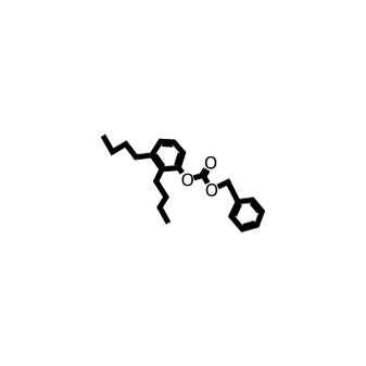 CCCCc1cccc(OC(=O)OCc2ccccc2)c1CCCC